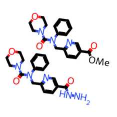 COC(=O)c1ccc(CN(C(=O)N2CCOCC2)c2ccccc2)nc1.NNC(=O)c1ccc(CN(C(=O)N2CCOCC2)c2ccccc2)nc1